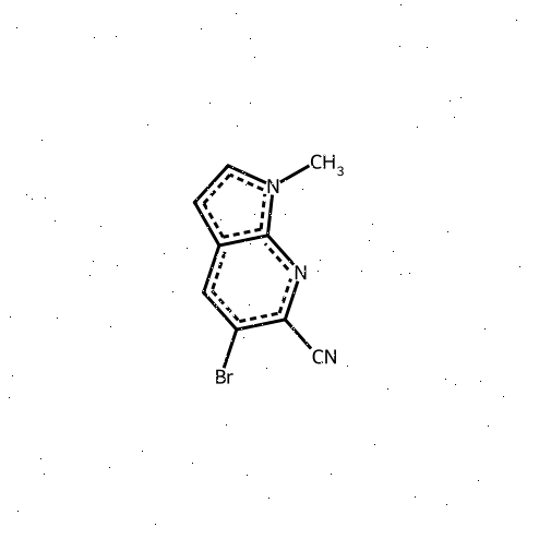 Cn1ccc2cc(Br)c(C#N)nc21